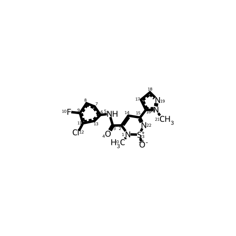 CN1C(C(=O)Nc2ccc(F)c(Cl)c2)=CC(c2ccnn2C)=N[S+]1[O-]